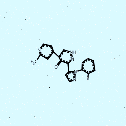 O=c1c(-c2ccnc(C(F)(F)F)c2)c[nH]nc1-c1ccnn1-c1ccccc1F